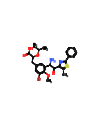 COc1c(Br)cc(CC(OC(C)C)C(=O)O)cc1C(N)C(=O)c1nc(-c2ccccc2)sc1C